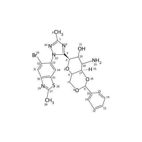 Cc1nc([C@@H]2OC3COC(c4ccccc4)O[C@@H]3C(N)C2O)n(-c2cc3sc(C)nc3cc2Br)n1